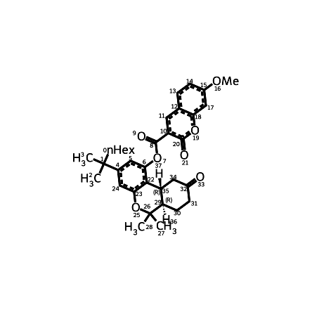 CCCCCCC(C)(C)c1cc(OC(=O)c2cc3ccc(OC)cc3oc2=O)c2c(c1)OC(C)(C)[C@@H]1CCC(=O)C[C@@H]21